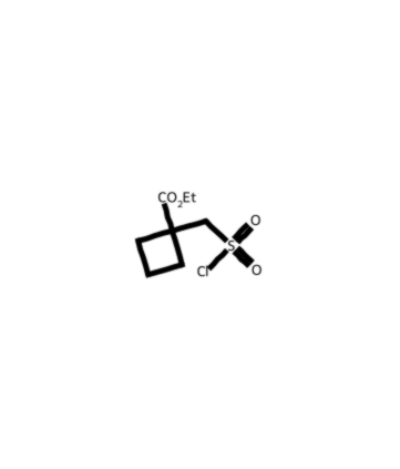 CCOC(=O)C1(CS(=O)(=O)Cl)CCC1